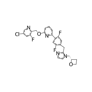 Fc1cc(-c2cccc(OCc3ncc(Cl)cc3F)n2)c(F)cc1Cc1nccn1C[C@@H]1CCO1